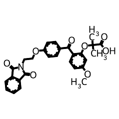 COc1ccc(C(=O)c2ccc(OCCN3C(=O)c4ccccc4C3=O)cc2)c(OC(C)(C)C(=O)O)c1